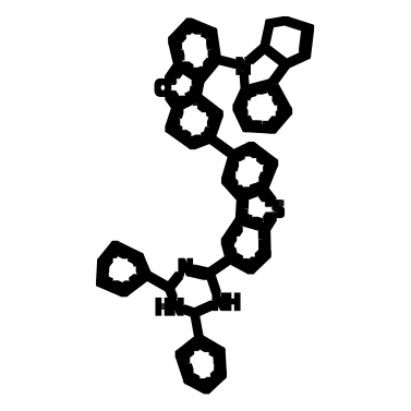 C1=CC2c3ccccc3N(c3cccc4oc5ccc(-c6ccc7sc8ccc(C9=NC(c%10ccccc%10)NC(c%10ccccc%10)N9)cc8c7c6)cc5c34)C2CC1